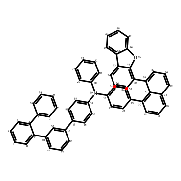 c1ccc(-c2ccccc2-c2cccc(-c3ccc(N(c4ccccc4)c4ccc(-c5cccc6cccc(-c7cccc8c7oc7ccccc78)c56)cc4)cc3)c2)cc1